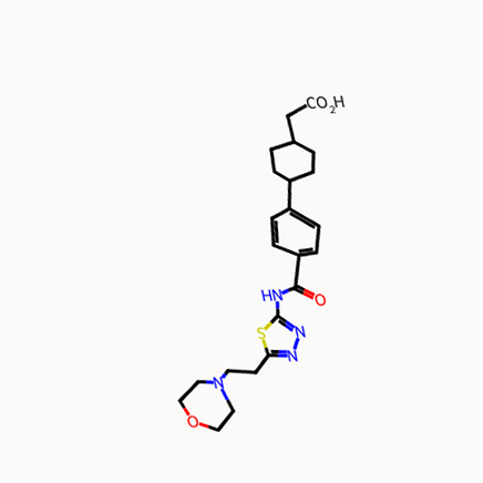 O=C(O)CC1CCC(c2ccc(C(=O)Nc3nnc(CCN4CCOCC4)s3)cc2)CC1